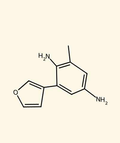 Cc1cc(N)cc(-c2ccoc2)c1N